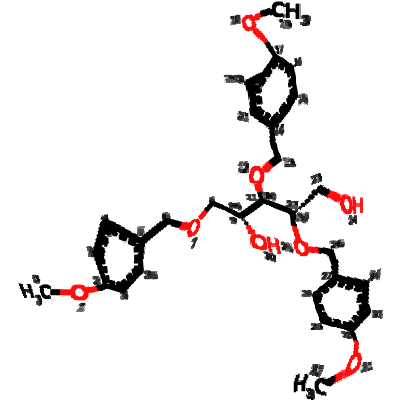 COc1ccc(COC[C@@H](O)[C@@H](OCc2ccc(OC)cc2)[C@H](CO)OCc2ccc(OC)cc2)cc1